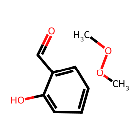 COOC.O=Cc1ccccc1O